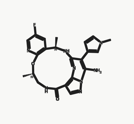 C[C@H]1CNC(=O)c2cnn3c(N)c(-c4ccn(C)c4)c(nc23)N[C@H](C)c2cc(F)cnc2O1